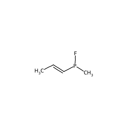 CC=CP(C)F